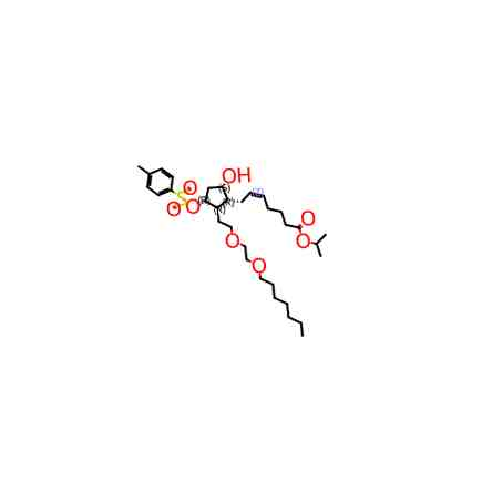 CCCCCCCOCCOCC[C@@H]1[C@@H](C/C=C\CCCC(=O)OC(C)C)[C@@H](O)C[C@H]1OS(=O)(=O)c1ccc(C)cc1